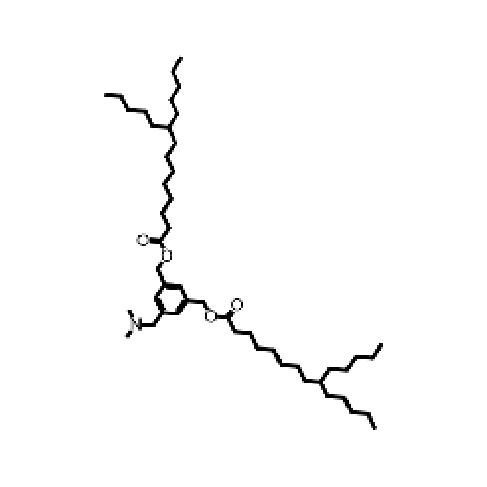 CCCCCC(CCCCC)CCCCCCCC(=O)OCc1cc(COC(=O)CCCCCCCC(CCCCC)CCCCC)cc(CN(C)C)c1